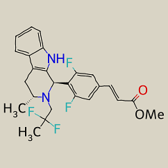 COC(=O)/C=C/c1cc(F)c([C@@H]2c3[nH]c4ccccc4c3C[C@@H](C)N2CC(C)(F)F)c(F)c1